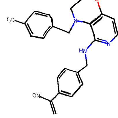 C=C(N=O)c1ccc(CNc2nccc3c2N(Cc2ccc(C(F)(F)F)cc2)CCO3)cc1